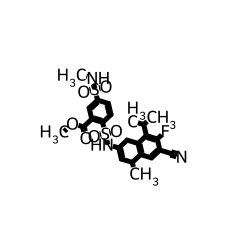 CNS(=O)(=O)c1ccc(S(=O)(=O)NC2=CC(C)c3cc(C#N)c(F)c(C(C)C)c3C2)c(C(=O)OC)c1